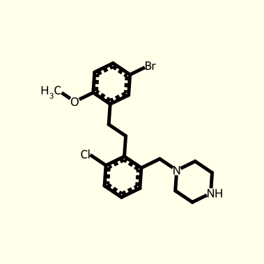 COc1ccc(Br)cc1CCc1c(Cl)cccc1CN1CCNCC1